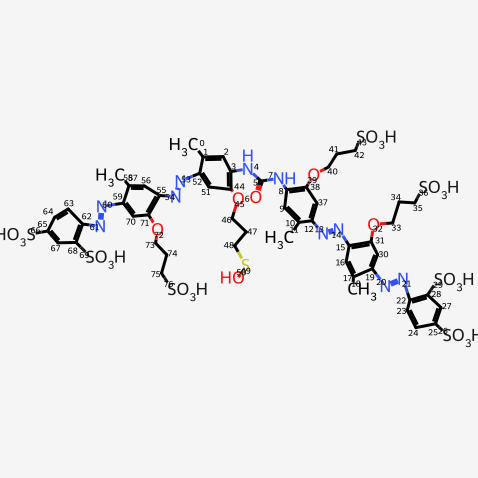 Cc1cc(NC(=O)Nc2cc(C)c(N=Nc3cc(C)c(N=Nc4ccc(S(=O)(=O)O)cc4S(=O)(=O)O)cc3OCCCS(=O)(=O)O)cc2OCCCS(=O)(=O)O)c(OCCCSO)cc1N=Nc1cc(C)c(N=Nc2ccc(S(=O)(=O)O)cc2S(=O)(=O)O)cc1OCCCS(=O)(=O)O